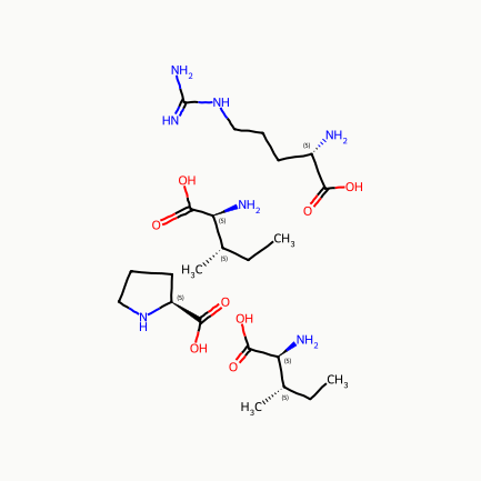 CC[C@H](C)[C@H](N)C(=O)O.CC[C@H](C)[C@H](N)C(=O)O.N=C(N)NCCC[C@H](N)C(=O)O.O=C(O)[C@@H]1CCCN1